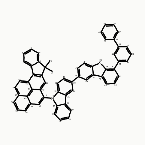 CC1(C)c2ccccc2-c2c1cc1c(-n3c4ccccc4c4cc(-c5ccc6sc7c(-c8cccc(-c9ccccc9)c8)cccc7c6c5)ccc43)cc3cccc4ccc2c1c43